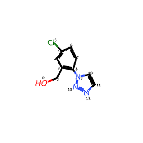 OCc1cc(Cl)ccc1-n1ccnn1